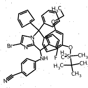 CCOc1cc(O[Si](C)(C)C(C)(C)C)c(F)c(C(Nc2ccc(C#N)cc2)c2nc(Br)cn2C(c2ccccc2)(c2ccccc2)c2ccccc2)c1